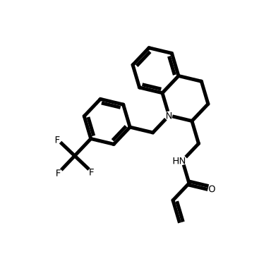 C=CC(=O)NCC1CCc2ccccc2N1Cc1cccc(C(F)(F)F)c1